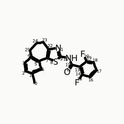 Cc1ccc2c(c1)-c1sc(NC(=O)c3c(F)cccc3F)nc1CCC2